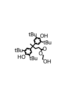 CC(C)(C)c1cc(C(C)(CCC(=O)OCCO)c2cc(C(C)(C)C)c(O)c(C(C)(C)C)c2)cc(C(C)(C)C)c1O